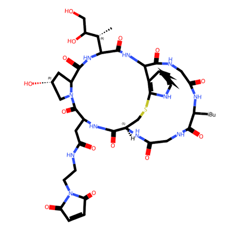 CCC(C)C1NC(=O)CNC(=O)C2NC(=O)C([C@@H](C)C(O)CO)NC(=O)C3C[C@@H](O)CN3C(=O)C(CC(=O)NCCN3C(=O)C=CC3=O)NC(=O)[C@@H](CSc3[nH]c4ccccc4c32)NC(=O)CNC1=O